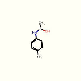 CB(O)Nc1ccc(C(F)(F)F)cc1